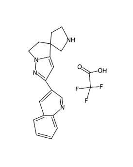 O=C(O)C(F)(F)F.c1ccc2ncc(-c3cc4n(n3)CCC43CCNC3)cc2c1